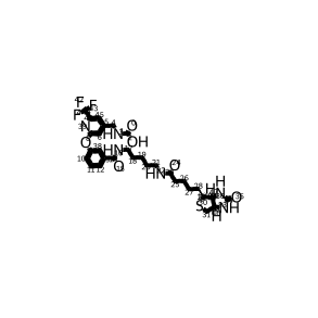 O=C(O)NCc1cc(Oc2cccc(C(=O)NCCCCCNC(=O)CCCC[C@@H]3SC[C@@H]4NC(=O)N[C@@H]43)c2)nc(C(F)(F)F)c1